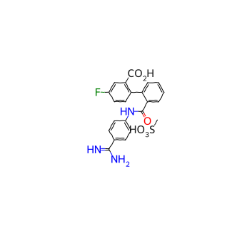 CS(=O)(=O)O.N=C(N)c1ccc(NC(=O)c2ccccc2-c2ccc(F)cc2C(=O)O)cc1